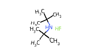 CC(C)(C)NC(C)(C)C.F